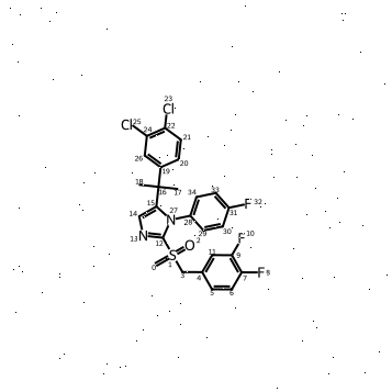 C=S(=O)(Cc1ccc(F)c(F)c1)c1ncc(C(C)(C)c2ccc(Cl)c(Cl)c2)n1-c1ccc(F)cc1